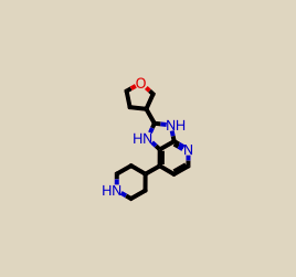 c1cc(C2CCNCC2)c2c(n1)NC(C1CCOC1)N2